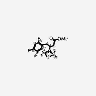 COC(=O)CC(Cc1cc(F)c(F)cc1F)N([Si](C)(C)C)[Si](C)(C)C